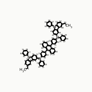 CCc1ccc2c(c1)c1cc(N(c3ccccc3)c3ccc(-c4c5ccccc5c(-c5ccc(N(c6ccccc6)c6ccc7c(c6)c6cc(CC)ccc6n7-c6ccccc6)cc5)c5ccccc45)cc3)ccc1n2-c1ccccc1